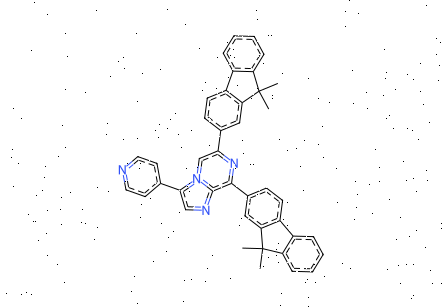 CC1(C)c2ccccc2-c2ccc(-c3cn4c(-c5ccncc5)cnc4c(-c4ccc5c(c4)C(C)(C)c4ccccc4-5)n3)cc21